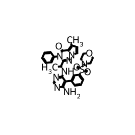 Cc1ccn2nc(C(C)Nc3ncnc(N)c3-c3cccc(S(=O)(=O)N4CCOCC4)c3)n(-c3ccccc3)c(=O)c12